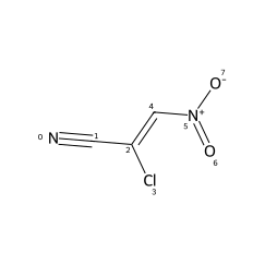 N#C/C(Cl)=C/[N+](=O)[O-]